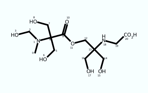 CN(CO)C(CO)(CO)C(=O)OCC(CO)(CO)NCC(=O)O